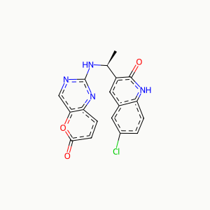 C[C@H](Nc1ncc2oc(=O)ccc2n1)c1cc2cc(Cl)ccc2[nH]c1=O